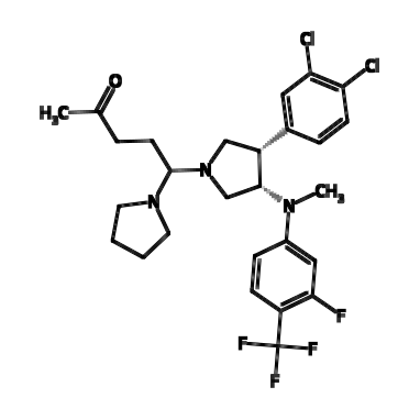 CC(=O)CCC(N1CCCC1)N1C[C@H](c2ccc(Cl)c(Cl)c2)[C@H](N(C)c2ccc(C(F)(F)F)c(F)c2)C1